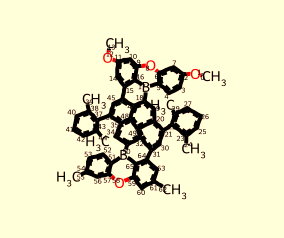 COc1ccc2c(c1)Oc1cc(OC)cc3c1B2c1cc2c(-c4c(C)cccc4C)cc4c5c(cc6c(-c7c(C)cccc7C)cc-3c1c6c25)B1c2ccc(C)cc2Oc2cc(C)cc-4c21